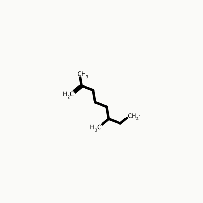 [CH2]CC(C)CCCC(=C)C